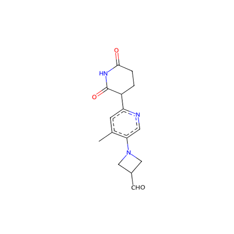 Cc1cc(C2CCC(=O)NC2=O)ncc1N1CC(C=O)C1